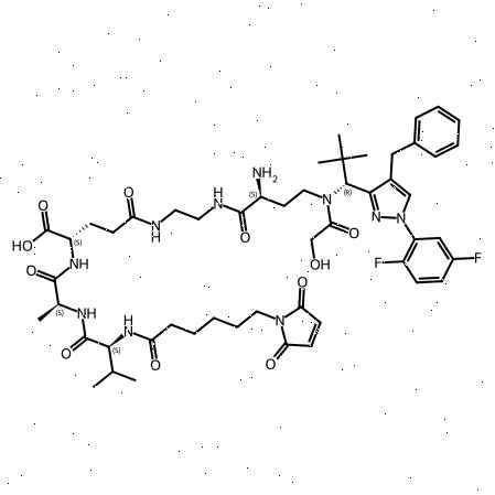 CC(C)[C@H](NC(=O)CCCCCN1C(=O)C=CC1=O)C(=O)N[C@@H](C)C(=O)N[C@@H](CCC(=O)NCCNC(=O)[C@@H](N)CCN(C(=O)CO)[C@@H](c1nn(-c2cc(F)ccc2F)cc1Cc1ccccc1)C(C)(C)C)C(=O)O